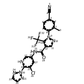 Cc1cc(C#N)ccc1-n1ncc(C(=O)Nc2cnc(-n3nccn3)c(Cl)c2)c1C(F)(F)F